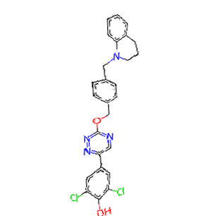 Oc1c(Cl)cc(-c2cnc(OCc3ccc(CN4CCCc5ccccc54)cc3)nn2)cc1Cl